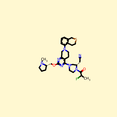 CC(F)C(=O)N1CCN(c2nc(OC[C@@H]3CCCN3C)nc3c2CCN(c2cccc4c2CCSC4)C3)C[C@@H]1CC#N